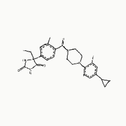 CCC1(c2ccc(C(=O)N3CCN(c4ncc(C5CC5)cc4C)CC3)c(C)c2)NC(=O)NC1=O